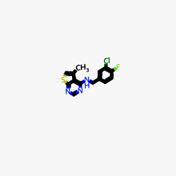 Cc1csc2ncnc(NCc3ccc(F)c(Cl)c3)c12